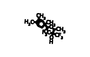 CC1C2CC(C1C)C(C)(C(=O)OC(C)C(O)(C(F)(F)F)C(F)(F)F)C2